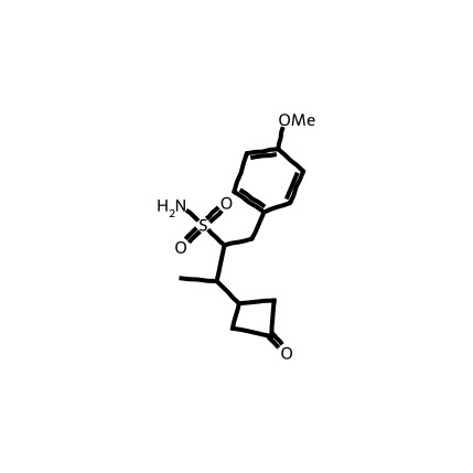 COc1ccc(CC(C(C)C2CC(=O)C2)S(N)(=O)=O)cc1